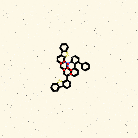 c1ccc(-c2ccccc2-c2c(-c3ccccc3)cccc2N(c2ccc(-c3cccc4c3sc3ccccc34)cc2)c2cccc3c2sc2ccccc23)cc1